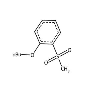 CCCCOc1ccccc1S(C)(=O)=O